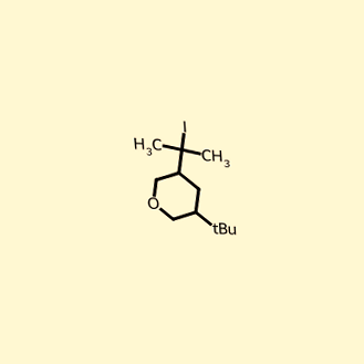 CC(C)(C)C1COCC(C(C)(C)I)C1